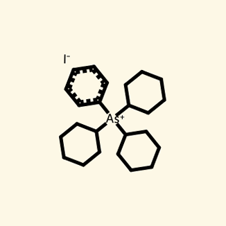 [I-].c1ccc([As+](C2CCCCC2)(C2CCCCC2)C2CCCCC2)cc1